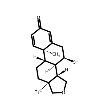 C[C@]12CC[C@H]3[C@@H]([C@H](S)CC4=CC(=O)C=C[C@@]43C)[C@@H]1COC2